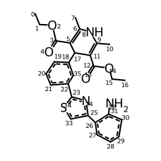 CCOC(=O)C1=C(C)NC(C)=C(C(=O)OCC)C1c1cccc(-c2nc(-c3ccccc3N)cs2)c1